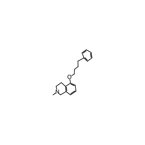 CN1CCc2c(cccc2OCCCCc2ccccc2)C1